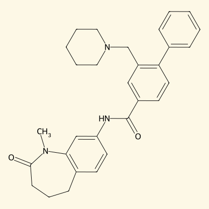 CN1C(=O)CCCc2ccc(NC(=O)c3ccc(-c4ccccc4)c(CN4CCCCC4)c3)cc21